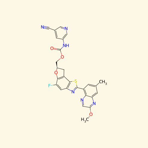 COc1cnc2c(-c3nc4cc(F)c5c(c4s3)C[C@H](COC(=O)Nc3cncc(C#N)c3)O5)cc(C)cc2n1